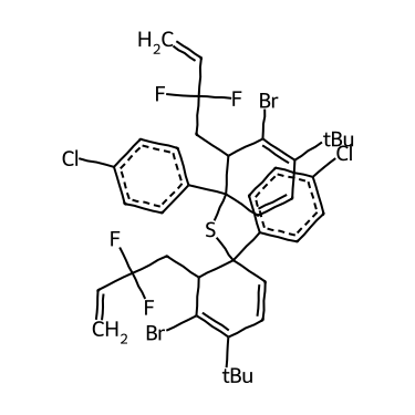 C=CC(F)(F)CC1C(Br)=C(C(C)(C)C)C=CC1(SC1(c2ccc(Cl)cc2)C=CC(C(C)(C)C)=C(Br)C1CC(F)(F)C=C)c1ccc(Cl)cc1